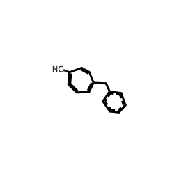 N#CC1=C=CC=C(Cc2ccccc2)C=C1